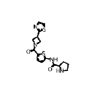 O=C(Nc1ccc(C(=O)N2CC(c3nccs3)C2)s1)C1CCCN1